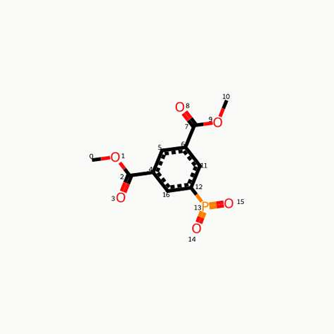 COC(=O)c1cc(C(=O)OC)cc(P(=O)=O)c1